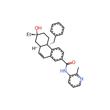 CC[C@@]1(O)CC[C@@]2(Cc3ccccc3)c3ccc(C(=O)Nc4cccnc4C)cc3C=C[C@H]2C1